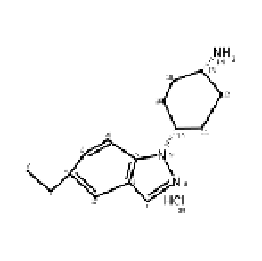 CCc1ccc2c(cnn2[C@H]2CC[C@@H](N)CC2)c1.Cl